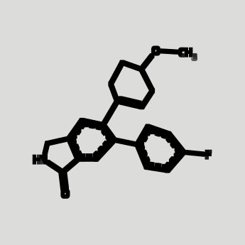 COC1CC=C(c2cc3c(cc2-c2ccc(F)cc2)C(=O)NC3)CC1